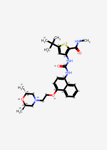 CNC(=O)c1sc(C(C)(C)C)cc1NC(=O)Nc1ccc(OCCN2C[C@@H](C)O[C@H](C)C2)c2ccccc12